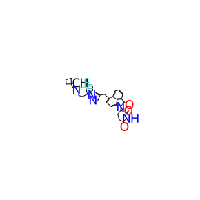 CC1(CN2CC[C@H](n3cc(Cc4ccc5c6c(cccc46)C(=O)N5C4CCC(=O)NC4=O)cn3)C(F)(F)C2)CCC1